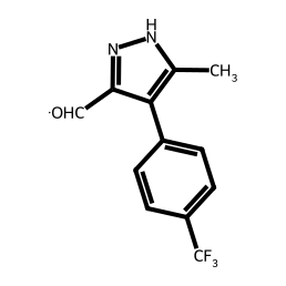 Cc1[nH]nc([C]=O)c1-c1ccc(C(F)(F)F)cc1